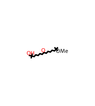 COC(C)(C)CCCCCC(=O)CCCCCC(C)(C)CO